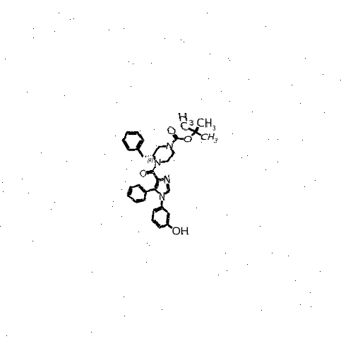 CC(C)(C)OC(=O)N1CCN(C(=O)c2ncn(-c3cccc(O)c3)c2-c2ccccc2)[C@H](Cc2ccccc2)C1